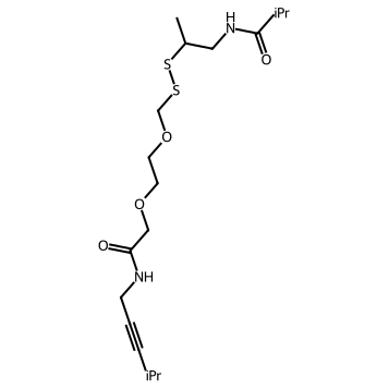 CC(C)C#CCNC(=O)COCCOCSSC(C)CNC(=O)C(C)C